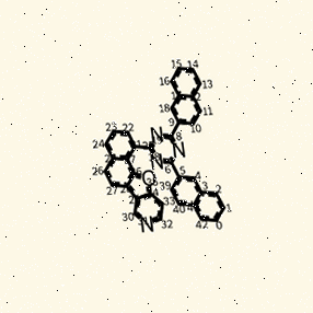 c1ccc2cc(-c3nc(-c4ccc5ccccc5c4)nc(-c4cccc5ccc6c7cnccc7oc6c45)n3)ccc2c1